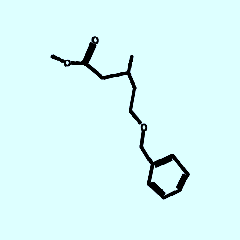 COC(=O)CC(C)CCOCc1ccccc1